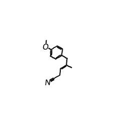 COc1ccc(CC(C)=CCC#N)cc1